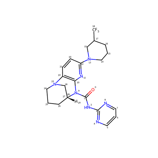 O=C(Nc1ncccn1)N1c2nc(N3CCCC(C(F)(F)F)C3)ccc2N2CCC[C@@H]1C2